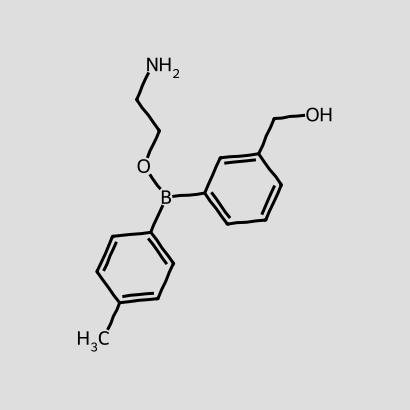 Cc1ccc(B(OCCN)c2cccc(CO)c2)cc1